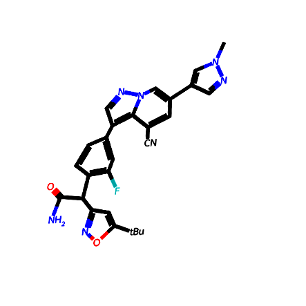 Cn1cc(-c2cc(C#N)c3c(-c4ccc(C(C(N)=O)c5cc(C(C)(C)C)on5)c(F)c4)cnn3c2)cn1